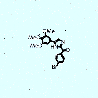 COc1cc(-c2cnc(C(=O)c3ccc(Br)cc3)[nH]2)cc(OC)c1OC